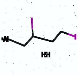 [Al][CH2]C(I)CCI.[HH]